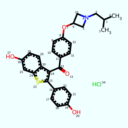 CC(C)CN1CC(Oc2ccc(C(=O)c3c(-c4ccc(O)cc4)sc4cc(O)ccc34)cc2)C1.Cl